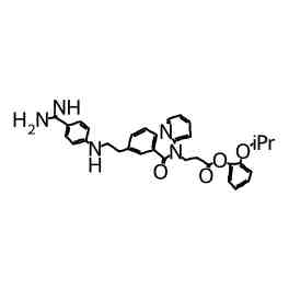 CC(C)Oc1ccccc1OC(=O)CCN(C(=O)c1cccc(CCNc2ccc(C(=N)N)cc2)c1)c1ccccn1